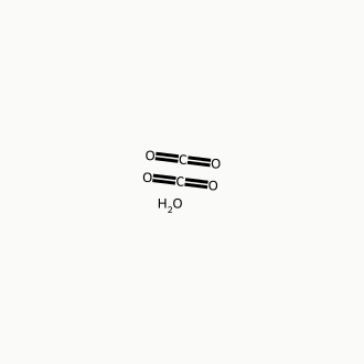 O.O=C=O.O=C=O